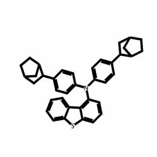 c1ccc2c(c1)sc1cccc(N(c3ccc(C4CC5CCC4C5)cc3)c3ccc(C4CC5CCC4C5)cc3)c12